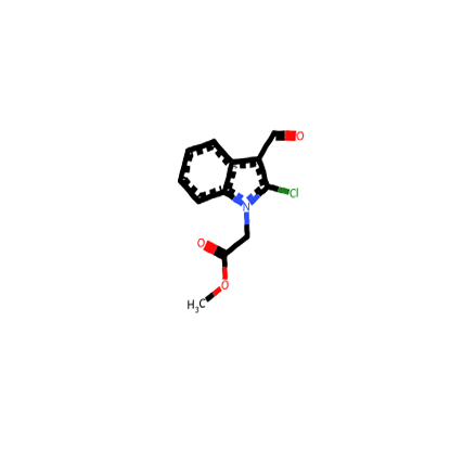 COC(=O)Cn1c(Cl)c(C=O)c2ccccc21